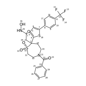 O=C(CC1(c2ccc(-c3ccc(C(F)(F)F)cc3)s2)CCN(C(=O)c2ccccc2)CCS1(=O)=O)NO